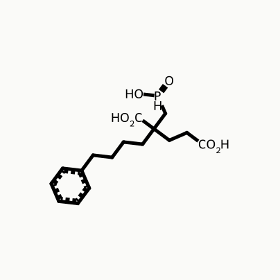 O=C(O)CCC(CCCCc1ccccc1)(C[PH](=O)O)C(=O)O